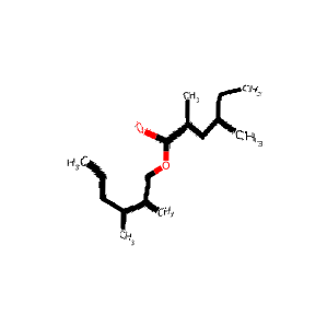 CCCC(C)C(C)COC([O])C(C)CC(C)CC